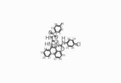 Cc1ccc(S(=O)(=O)NC(=O)N[C@H](c2ccccc2)[C@H](NC(=O)Nc2ccc(Cl)cc2)c2ccccc2)cc1